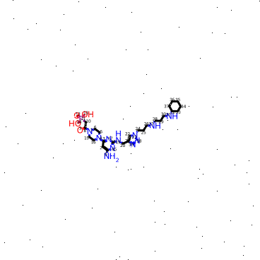 Nc1cc(N2CCN(C(=O)CP(=O)(O)O)CC2)nc(NCc2cn(CCCNCCCNC3CCCCC3)nn2)n1